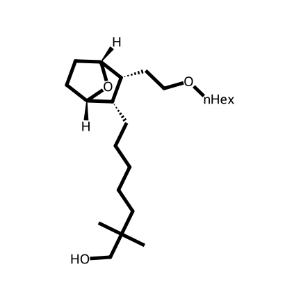 CCCCCCOCC[C@@H]1[C@H](CCCCCC(C)(C)CO)[C@@H]2CC[C@H]1O2